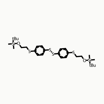 CC(C)(C)[Si](C)(C)OCCSc1ccc(SSc2ccc(SCCO[Si](C)(C)C(C)(C)C)cc2)cc1